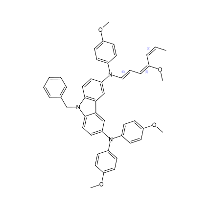 C\C=C/C(=C\C=C\N(c1ccc(OC)cc1)c1ccc2c(c1)c1cc(N(c3ccc(OC)cc3)c3ccc(OC)cc3)ccc1n2Cc1ccccc1)OC